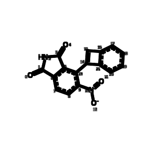 O=C1NC(=O)c2c1ccc([N+](=O)[O-])c2C1=Cc2ccccc21